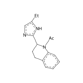 CCc1cnc(C2CCc3ccccc3N2C(C)=O)[nH]1